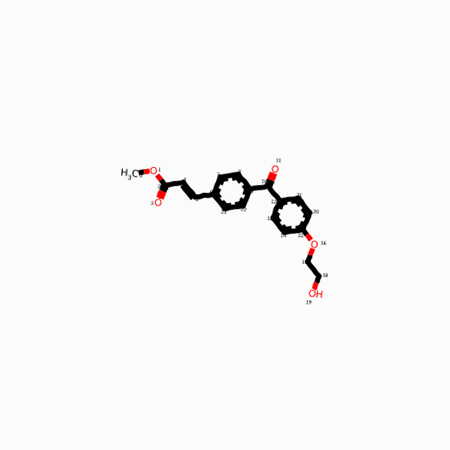 COC(=O)C=Cc1ccc(C(=O)c2ccc(OCCO)cc2)cc1